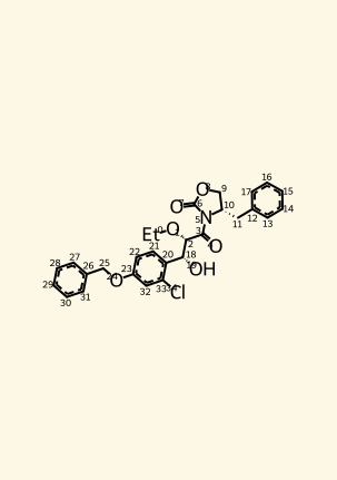 CCO[C@H](C(=O)N1C(=O)OC[C@@H]1Cc1ccccc1)[C@H](O)c1ccc(OCc2ccccc2)cc1Cl